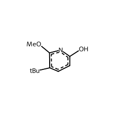 COc1nc(O)ccc1C(C)(C)C